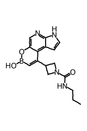 CCCNC(=O)N1CC(C2=CB(O)Oc3cnc4[nH]ccc4c32)C1